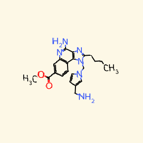 CCCCc1nc2c(N)nc3cc(C(=O)OC)ccc3c2n1Cn1ccc(CN)c1